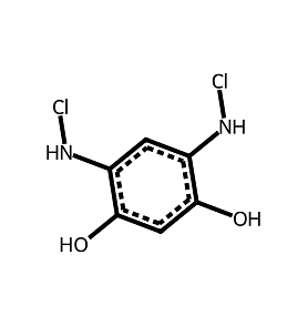 Oc1cc(O)c(NCl)cc1NCl